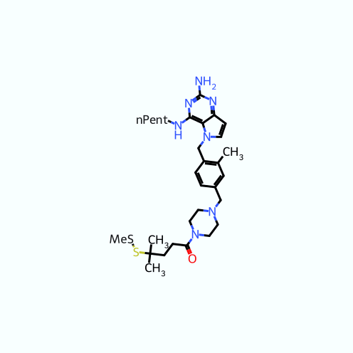 CCCCCNc1nc(N)nc2ccn(Cc3ccc(CN4CCN(C(=O)CCC(C)(C)SSC)CC4)cc3C)c12